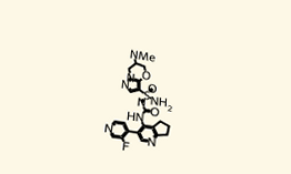 CNC1COc2c(S(N)(=O)=NC(=O)Nc3c(-c4ccncc4F)cnc4c3CCC4)cnn2C1